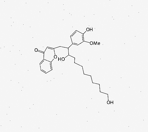 COc1cc(C(Cc2cc(=O)c3ccccc3o2)C(O)CCCCCCCCCO)ccc1O